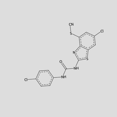 N#CSc1cc(Cl)cc2sc(NC(=O)Nc3ccc(Cl)cc3)nc12